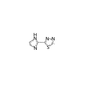 [c]1nnc(-c2ncc[nH]2)s1